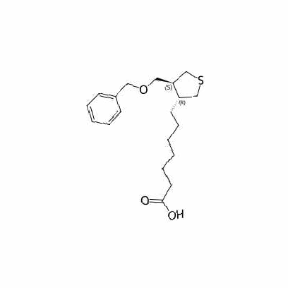 O=C(O)CCCCCC[C@H]1CSC[C@@H]1COCc1ccccc1